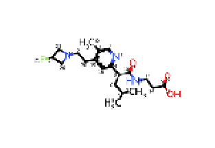 Cc1cnc([C@H](CC(C)C)C(=O)NCCC(=O)O)cc1CCN1CC(F)C1